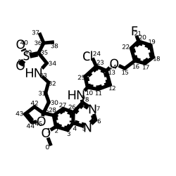 COc1cc2ncnc(Nc3ccc(OCc4cccc(F)c4)c(Cl)c3)c2cc1C1(CCCNCC(C(C)C)=S(=O)=O)CC=CO1